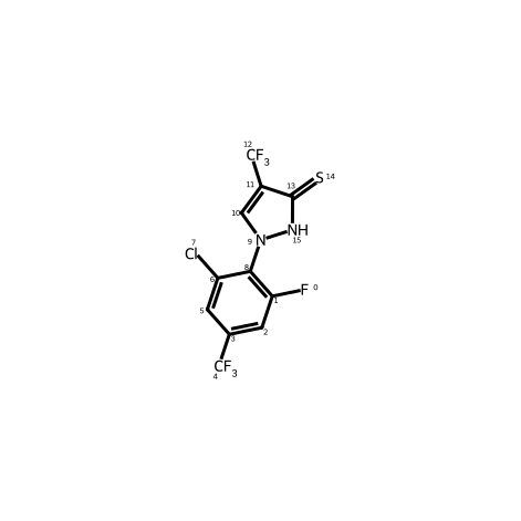 Fc1cc(C(F)(F)F)cc(Cl)c1-n1cc(C(F)(F)F)c(=S)[nH]1